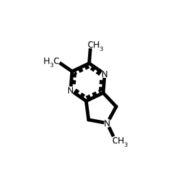 Cc1nc2c(nc1C)CN(C)C2